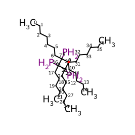 CCCCCCCC(P)(CCCCCC)C(P)(CCCCC)C(P)(CCCCCC)CCCCCCC